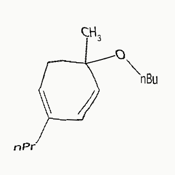 CCCCOC1(C)C=CC(CCC)=CC1